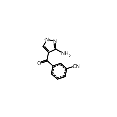 N#Cc1cccc(C(=O)C2=C[N]N=C2N)c1